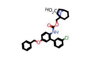 O=C(Nc1ccc(OCc2ccccc2)cc1-c1cccc(Cl)c1)OCC12CCCC(CC1)N2C(=O)O